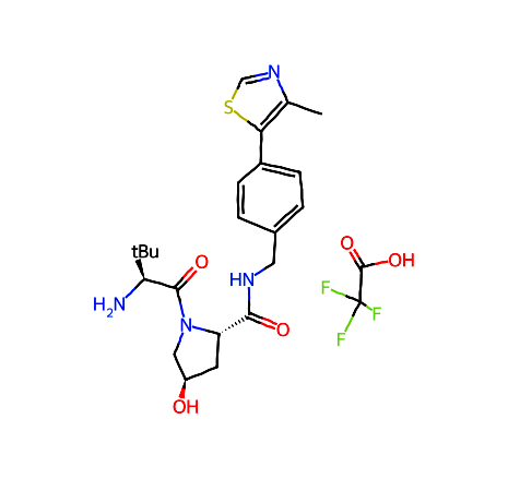 Cc1ncsc1-c1ccc(CNC(=O)[C@@H]2C[C@@H](O)CN2C(=O)[C@@H](N)C(C)(C)C)cc1.O=C(O)C(F)(F)F